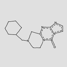 O=c1n2c(nc3nccn13)CN(CC1CCCCC1)CC2